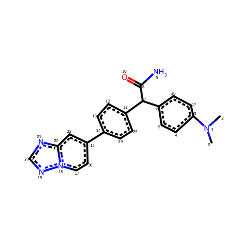 CN(C)c1ccc(C(C(N)=O)c2ccc(-c3ccn4ncnc4c3)cc2)cc1